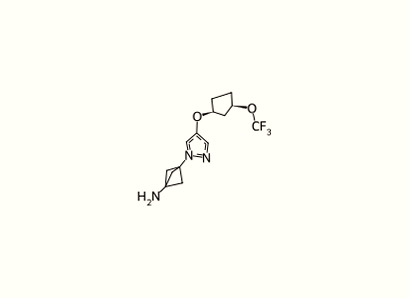 NC12CC(n3cc(O[C@H]4CC[C@@H](OC(F)(F)F)C4)cn3)(C1)C2